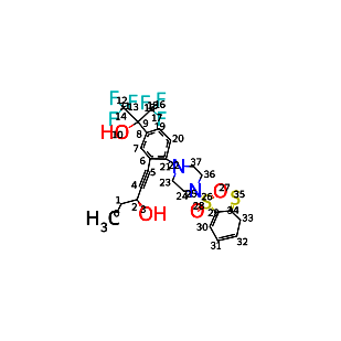 CC[C@H](O)C#Cc1cc(C(O)(C(F)(F)F)C(F)(F)F)ccc1N1CCN(S(=O)(=O)C2=CC=CCC2=S)CC1